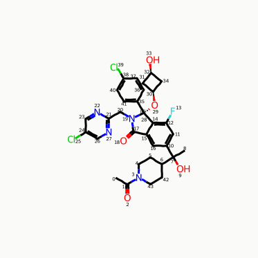 CC(=O)N1CCC(C(C)(O)c2cc(F)c3c(c2)C(=O)N(Cc2ncc(Cl)cn2)[C@@]3(O[C@H]2C[C@@H](O)C2)c2ccc(Cl)cc2)CC1